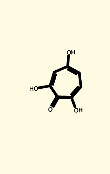 O=c1c(O)ccc(O)cc1O